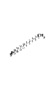 CCCCCCCCCCCCCCCCCCP=S